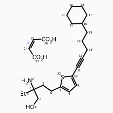 CCC(N)(CO)CCc1ccc(C#CCCCC2CCCCC2)s1.O=C(O)/C=C\C(=O)O